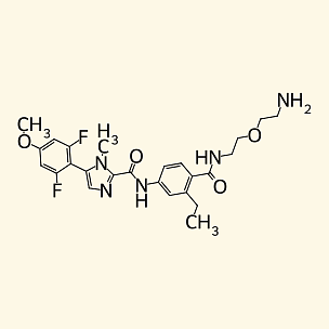 CCc1cc(NC(=O)c2ncc(-c3c(F)cc(OC)cc3F)n2C)ccc1C(=O)NCCOCCN